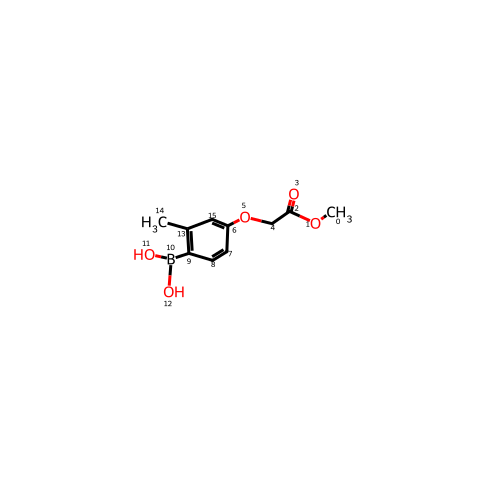 COC(=O)COc1ccc(B(O)O)c(C)c1